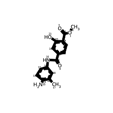 COC(=O)c1ccc(C(=O)Nc2ccc(N)c(C)c2)cc1O